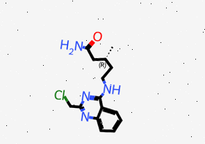 C[C@H](CCNc1nc(CCl)nc2ccccc12)CC(N)=O